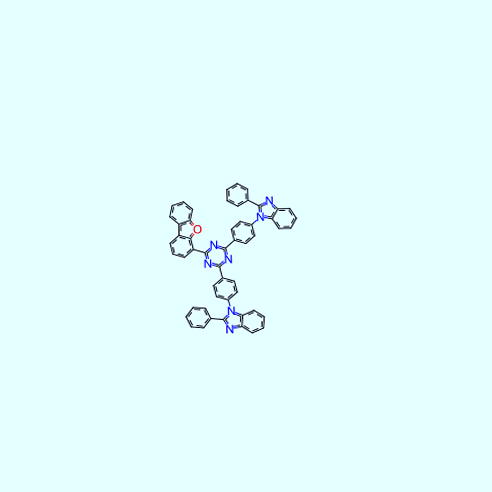 c1ccc(-c2nc3ccccc3n2-c2ccc(-c3nc(-c4ccc(-n5c(-c6ccccc6)nc6ccccc65)cc4)nc(-c4cccc5c4oc4ccccc45)n3)cc2)cc1